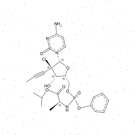 CC#C[C@@]1(Cl)[C@@H](O)[C@@H](COP(=O)(N[C@@H](C)C(=O)OC(C)C)Oc2ccccc2)O[C@H]1n1ccc(N)nc1=O